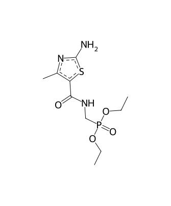 CCOP(=O)(CNC(=O)c1sc(N)nc1C)OCC